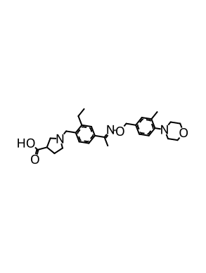 CCc1cc(C(C)=NOCc2ccc(N3CCOCC3)c(C)c2)ccc1CN1CCC(C(=O)O)C1